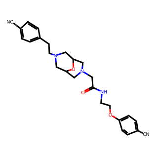 N#Cc1ccc(CCN2CC3CN(CC(=O)NCCOc4ccc(C#N)cc4)CC(C2)O3)cc1